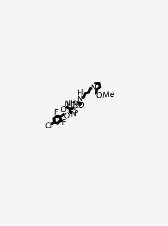 COCC1CCCN1CCCCNC(=O)Nc1snc(OCc2c(F)cc(Cl)cc2F)c1C(N)=O